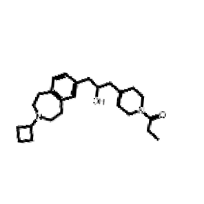 CCC(=O)N1CCC(CC(O)Cc2ccc3c(c2)CCN(C2CCC2)CC3)CC1